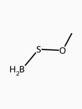 BSOC